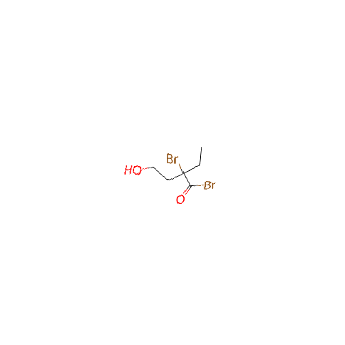 CCC(Br)(CCO)C(=O)Br